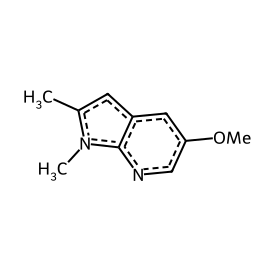 COc1cnc2c(c1)cc(C)n2C